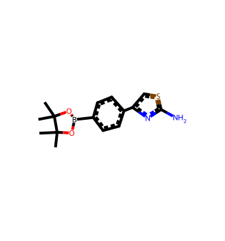 CC1(C)OB(c2ccc(-c3csc(N)n3)cc2)OC1(C)C